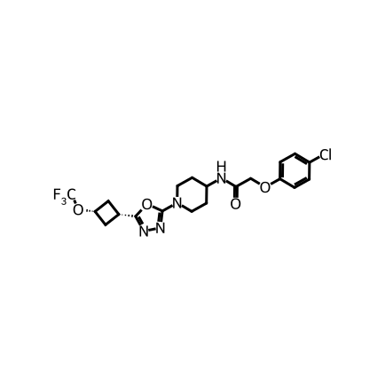 O=C(COc1ccc(Cl)cc1)NC1CCN(c2nnc([C@H]3C[C@@H](OC(F)(F)F)C3)o2)CC1